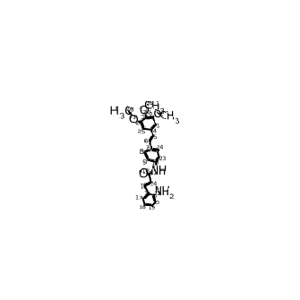 COc1cc(C=Cc2ccc(NC(=O)/C=C/c3ccccc3N)cc2)cc(OC)c1OC